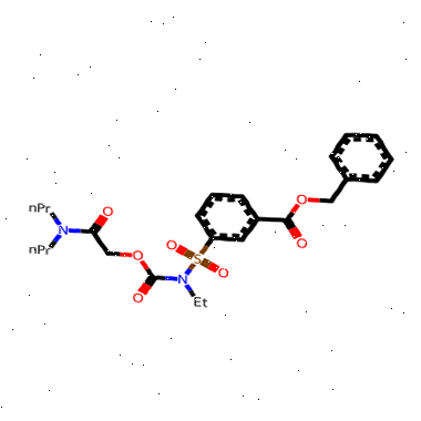 CCCN(CCC)C(=O)COC(=O)N(CC)S(=O)(=O)c1cccc(C(=O)OCc2ccccc2)c1